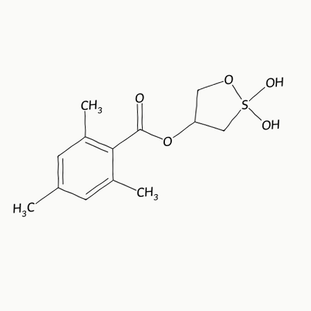 Cc1cc(C)c(C(=O)OC2COS(O)(O)C2)c(C)c1